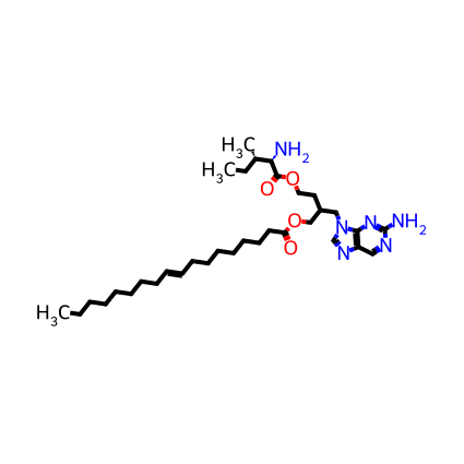 CCCCCCCCC=CCCCCCCCC(=O)OCC(CCOC(=O)[C@@H](N)[C@@H](C)CC)Cn1cnc2cnc(N)nc21